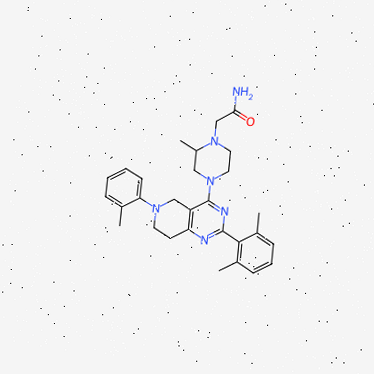 Cc1ccccc1N1CCc2nc(-c3c(C)cccc3C)nc(N3CCN(CC(N)=O)C(C)C3)c2C1